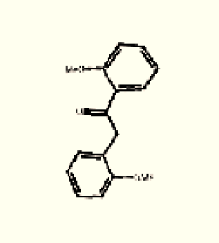 COc1ccccc1CC(=O)c1ccccc1OC